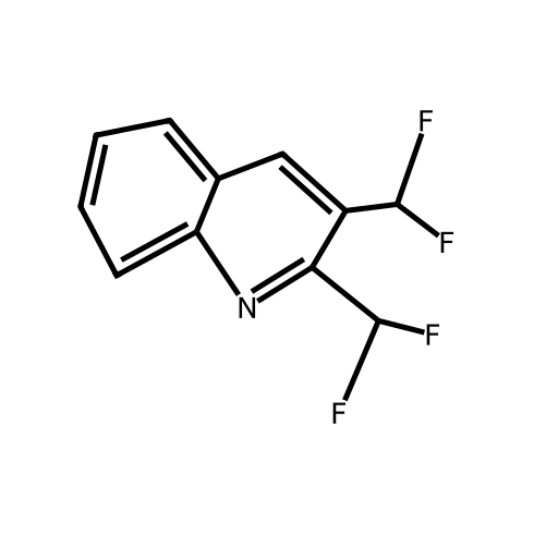 FC(F)c1cc2ccccc2nc1C(F)F